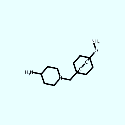 NOC12CCC(CN3CCC(N)CC3)(CC1)CC2